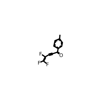 Cc1ccc(C(=O)C#CC(F)=C(F)F)cc1